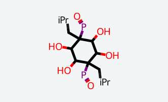 CC(C)CC1(P=O)C(O)C(O)C(CC(C)C)(P=O)C(O)C1O